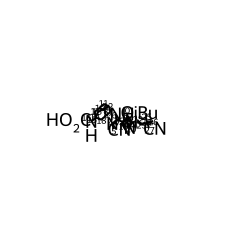 CC(C)COc1c(C(=NC#N)NC2C3CC4CC2CC(NC(=O)O)(C4)C3)cnn1C=CC(C)(C)C#N